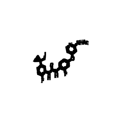 CC(=O)Nc1cc(Oc2ccc(NC(=O)Nc3cc(C4(CI)CC4)ccc3F)c(F)c2)ccn1